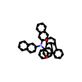 c1ccc2c(c1)-c1cccc3c1-c1cc(N(c4ccc5ccccc5c4)c4ccc5ccccc5c4)ccc1-c1cccc-3c1-2